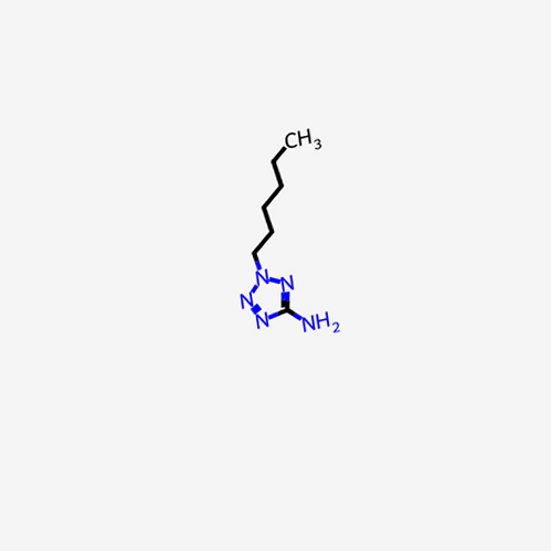 CCCCCCn1nnc(N)n1